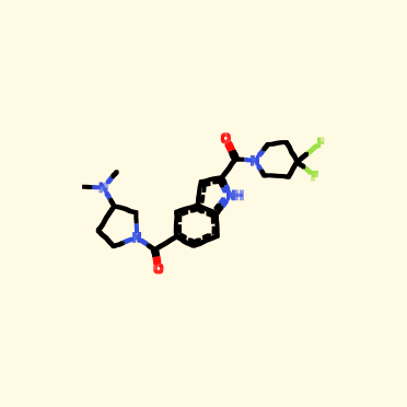 CN(C)C1CCN(C(=O)c2ccc3[nH]c(C(=O)N4CCC(F)(F)CC4)cc3c2)C1